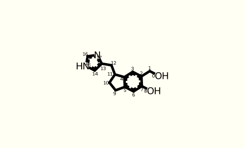 OCc1cc2c(cc1O)CCC2Cc1c[nH]cn1